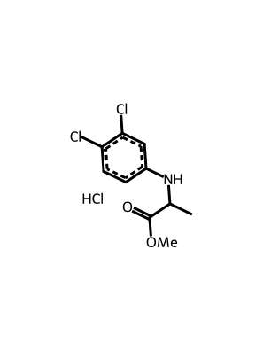 COC(=O)C(C)Nc1ccc(Cl)c(Cl)c1.Cl